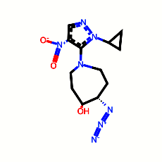 [N-]=[N+]=N[C@H]1CCN(c2c([N+](=O)[O-])cnn2C2CC2)CC[C@H]1O